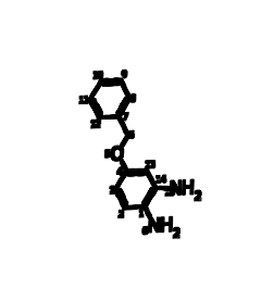 Nc1ccc(OCc2ccccc2)cc1N